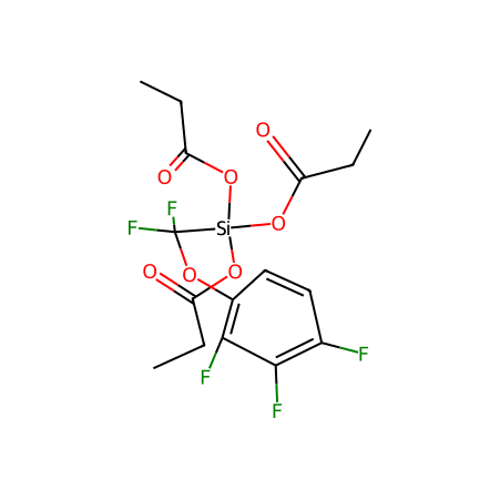 CCC(=O)O[Si](OC(=O)CC)(OC(=O)CC)C(F)(F)Oc1ccc(F)c(F)c1F